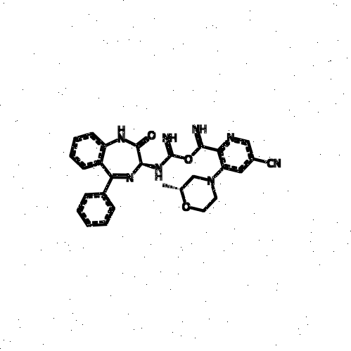 C[C@@H]1CN(c2cc(C#N)cnc2C(=N)OC(=N)N[C@H]2N=C(c3ccccc3)c3ccccc3NC2=O)CCO1